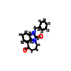 O=C1CCCn2c(=O)n(Cc3ccccc3)c3cccc1c32